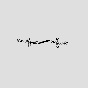 COC(=O)NCCOCC#CC#CCOCCNC(=O)OC